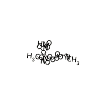 CCOc1nc2cccc(C(=O)OCOC(=O)OCc3ccn(C)c3)c2n1Cc1ccc(-c2ccccc2-c2noc(=O)[nH]2)cc1